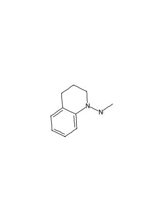 C[N]N1CCCc2ccccc21